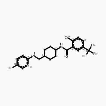 O=C(NC1CCC(CNc2ccc(F)cn2)CC1)c1cc(C(F)(F)F)ccc1Cl